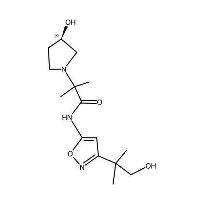 CC(C)(CO)c1cc(NC(=O)C(C)(C)N2CC[C@@H](O)C2)on1